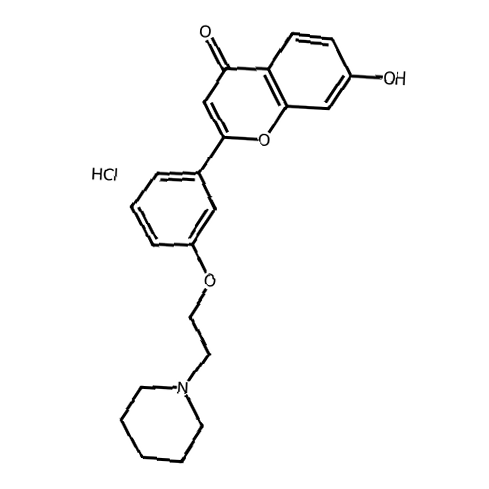 Cl.O=c1cc(-c2cccc(OCCN3CCCCC3)c2)oc2cc(O)ccc12